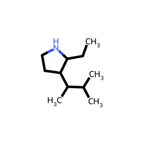 CCC1NCCC1C(C)C(C)C